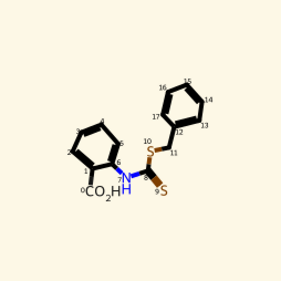 O=C(O)c1ccccc1NC(=S)SCc1ccccc1